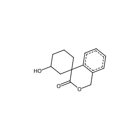 O=C1OCc2ccccc2C12CCCC(O)C2